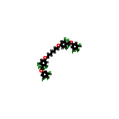 Fc1cc(OC(F)(F)c2c(F)cc(OCCCCCCCOc3cc(F)c(C(F)(F)Oc4cc(F)c(F)c(F)c4)c(F)c3)cc2F)cc(F)c1F